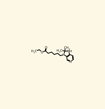 CCOC(=O)CCCCCN1c2cnccc2NC1(C)C